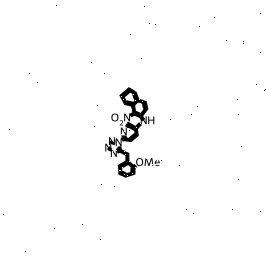 COc1ccccc1Cc1nnnn1-c1ccc(Nc2ccc3ccccc3c2[N+](=O)[O-])cn1